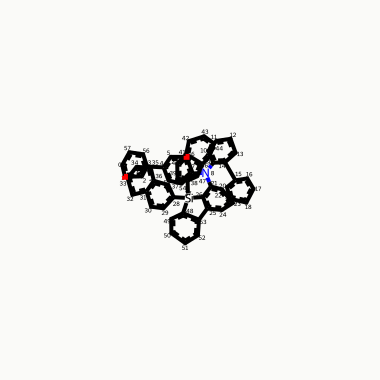 c1ccc(-c2ccc(N(c3ccccc3-c3ccccc3)c3cccc4c3[Si](c3ccc5ccccc5c3)(c3ccc5ccccc5c3)c3ccccc3-4)cc2)cc1